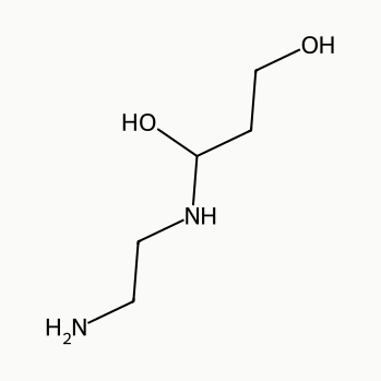 NCCNC(O)CCO